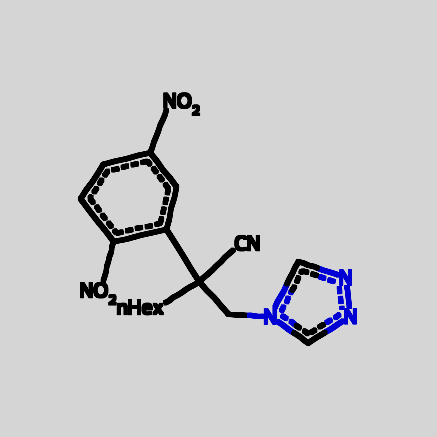 CCCCCCC(C#N)(Cn1cnnc1)c1cc([N+](=O)[O-])ccc1[N+](=O)[O-]